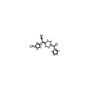 N#CC(=C1CCN(C(=O)n2ccnc2)CC1)c1ccc(Cl)s1